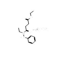 CCOC(=O)CCC(=O)[N](CC)[Ge][c]1ccccc1.O.O.O